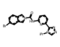 CC(C)n1cnnc1-c1cccc(NC(=O)n2cc3ccc(Br)cc3c2)n1